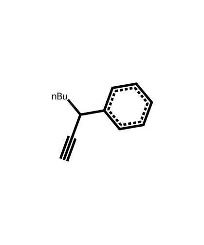 C#CC(CCCC)c1ccccc1